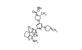 CC1CN(c2cc(-c3noc(C4(C)CCCc5sc(N)c(C#N)c54)n3)nc(N3CCN(C)CC3)c2)CCN1C(=O)OC(C)(C)C